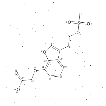 CS(=O)(=O)OCCc1coc2c(OCC(=O)O)cccc12